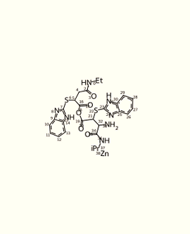 CCNC(=O)CC(Sc1nc2ccccc2[nH]1)C(=O)OC(=O)C(Sc1nc2ccccc2[nH]1)C(N)C(=O)NC(C)C.[Zn]